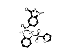 Cn1sc(=O)c2cc(S(=O)(=O)Nc3ccccc3NS(=O)(=O)c3ccco3)ccc21